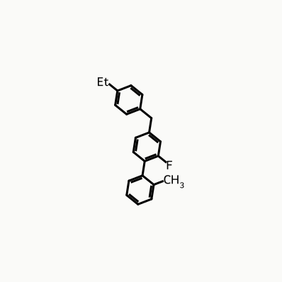 CCc1ccc(Cc2ccc(-c3ccccc3C)c(F)c2)cc1